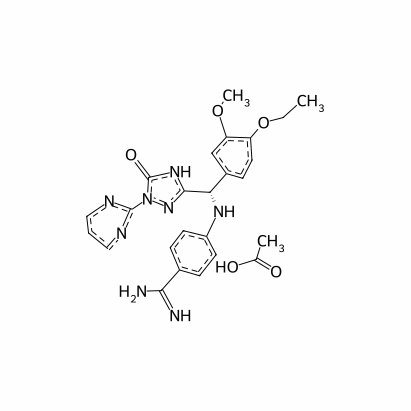 CC(=O)O.CCOc1ccc([C@H](Nc2ccc(C(=N)N)cc2)c2nn(-c3ncccn3)c(=O)[nH]2)cc1OC